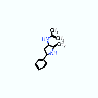 C=C(C)NC1CC(c2ccccc2)NC1=C